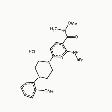 CCCNc1nc(N2CCN(c3ccccc3OC)CC2)ccc1C(=O)N(C)OC.Cl